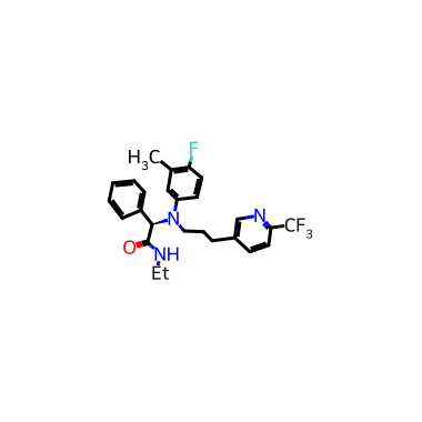 CCNC(=O)[C@@H](c1ccccc1)N(CCCc1ccc(C(F)(F)F)nc1)c1ccc(F)c(C)c1